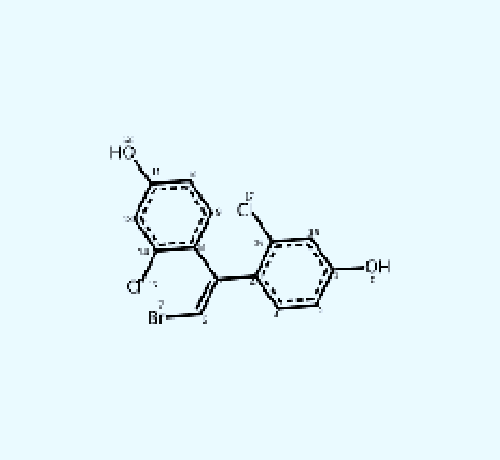 Oc1ccc(C(=CBr)c2ccc(O)cc2Cl)c(Cl)c1